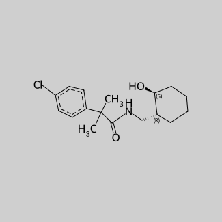 CC(C)(C(=O)NC[C@H]1CCCC[C@@H]1O)c1ccc(Cl)cc1